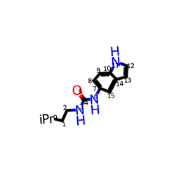 CC(C)CCNC(=O)Nc1ccc2[nH]ccc2c1